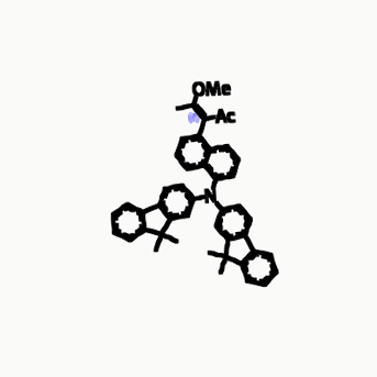 CO/C(C)=C(\C(C)=O)c1cccc2c(N(c3ccc4c(c3)C(C)(C)c3ccccc3-4)c3ccc4c(c3)C(C)(C)c3ccccc3-4)cccc12